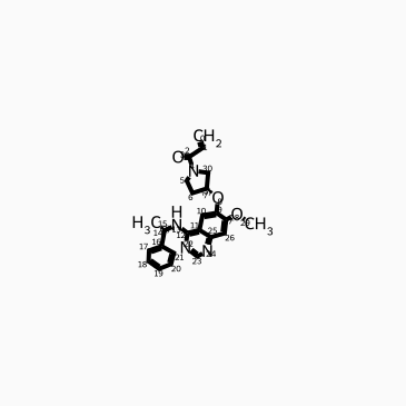 C=CC(=O)N1CC[C@H](Oc2cc3c(N[C@H](C)c4ccccc4)ncnc3cc2OC)C1